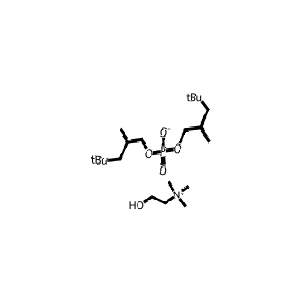 CC(COP(=O)([O-])OCC(C)CC(C)(C)C)CC(C)(C)C.C[N+](C)(C)CCO